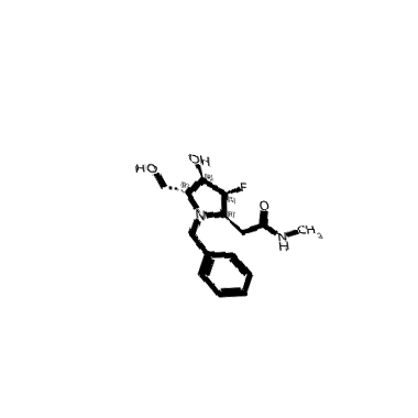 CNC(=O)C[C@@H]1[C@H](F)[C@H](O)[C@@H](CO)N1Cc1ccccc1